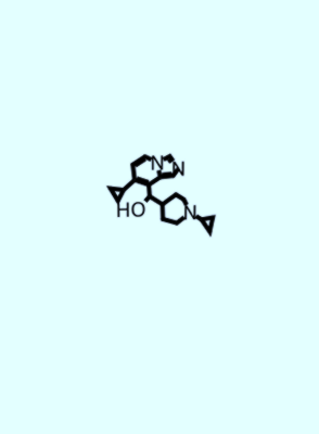 OC(c1c(C2CC2)ccn2cncc12)C1CCN(C2CC2)CC1